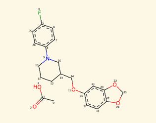 CC(=O)O.Fc1ccc(N2CCCC(COc3ccc4c(c3)OCO4)C2)cc1